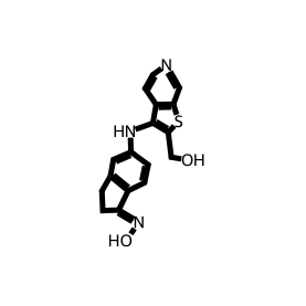 OCc1sc2cnccc2c1Nc1ccc2c(c1)CC/C2=N\O